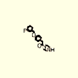 O=C(Cc1ccc(OCc2cccc(F)c2)cc1)N1CCNCC1